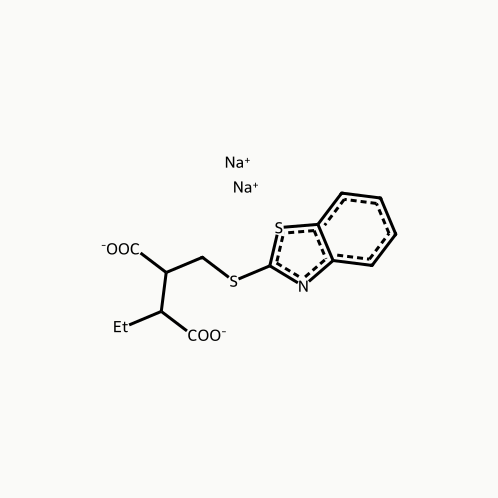 CCC(C(=O)[O-])C(CSc1nc2ccccc2s1)C(=O)[O-].[Na+].[Na+]